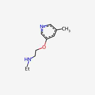 CCNCCOc1cncc(C)c1